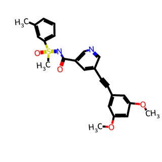 COc1cc(C#Cc2cncc(C(=O)N=S(C)(=O)c3cccc(C)c3)c2)cc(OC)c1